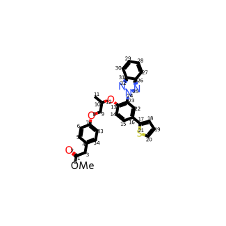 COC(=O)Cc1ccc(OCC(C)Oc2ccc(-c3cccs3)cc2-n2nc3ccccc3n2)cc1